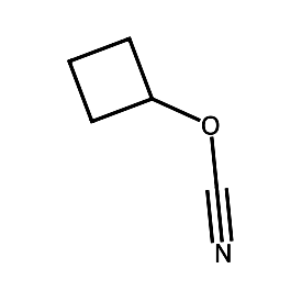 N#COC1CCC1